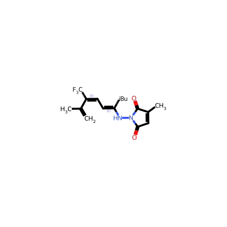 C=C(C)/C(=C\C=C(\NN1C(=O)C=C(C)C1=O)C(C)CC)C(F)(F)F